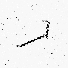 CCCCCCCCCCOCCOCCCC(=O)OCCCCCCCCCCCCCCCC(C)C